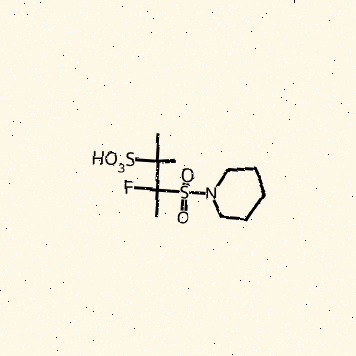 CC(C)(C(C)(F)S(=O)(=O)N1CCCCC1)S(=O)(=O)O